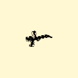 C=C(C)C(=O)OCCCc1cc(-c2ccc(-c3ccc(C4CCC(CCCCC)CC4)cc3)cc2)c(OC)cc1OCC(COC(=O)CC(=O)OC)(COC(=O)CC(=O)OC)COC(=O)C(=C)C